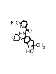 C[C@]1(CO)Cc2cc(NC(=O)c3cccc(C(F)(F)F)n3)c(N3CCOCC3)cc2O1